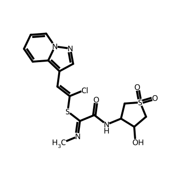 C/N=C(\S/C(Cl)=C/c1cnn2ccccc12)C(=O)NC1CS(=O)(=O)CC1O